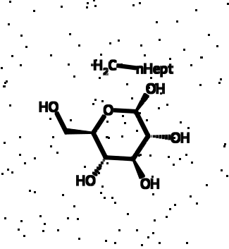 OC[C@H]1O[C@@H](O)[C@H](O)[C@@H](O)[C@@H]1O.[CH2]CCCCCCC